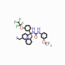 O=C(Nc1cccc(OC(F)(F)F)c1)N[C@@](Cc1ccccc1)(c1cccc(OC(F)(F)C(F)F)c1)c1ccc(CI)cn1